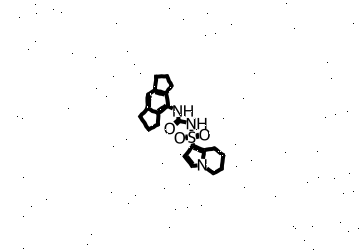 O=C(Nc1c2c(cc3c1CCC3)CCC2)NS(=O)(=O)c1ccn2c1CCCC2